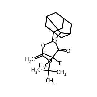 C=C(OCC12CC3CC(C1)C(OC(=O)C(C)(F)F)C(C3)C2)OC(C)(C)C